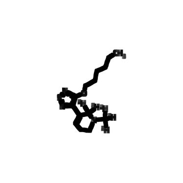 [2H]C([2H])([2H])N1CCC=C(c2nsnc2OCCCCCC)C1([2H])[2H]